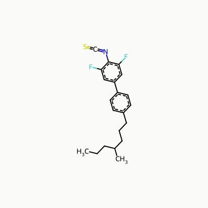 CCCC(C)CCCc1ccc(-c2cc(F)c(N=C=S)c(F)c2)cc1